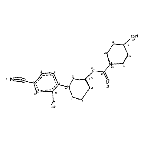 N#Cc1ccc(N2CCCC(OC(=O)N3CCC(O)CC3)C2)c(F)c1